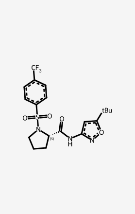 CC(C)(C)c1cc(NC(=O)[C@@H]2CCCN2S(=O)(=O)c2ccc(C(F)(F)F)cc2)no1